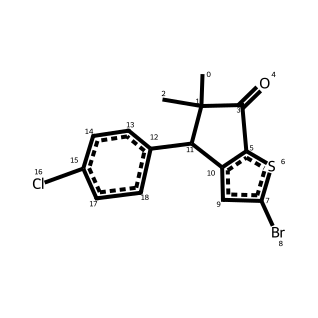 CC1(C)C(=O)c2sc(Br)cc2C1c1ccc(Cl)cc1